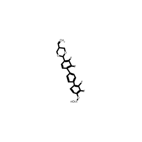 C=CC1COC(c2ccc(-c3ccc(-c4ccc(OCCCCCCCC)c(F)c4F)cc3)c(F)c2F)OC1